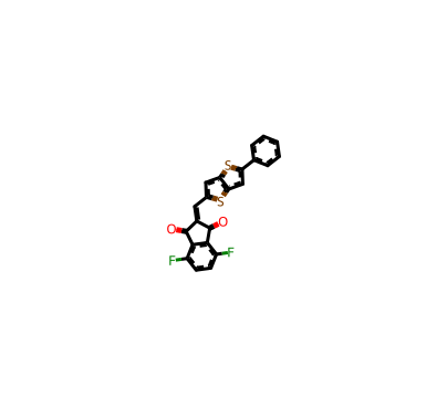 O=C1C(=Cc2cc3sc(-c4ccccc4)cc3s2)C(=O)c2c(F)ccc(F)c21